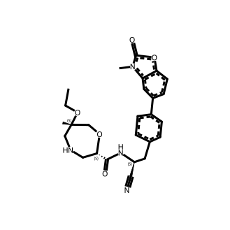 CCO[C@@]1(C)CNC[C@@H](C(=O)N[C@H](C#N)Cc2ccc(-c3ccc4oc(=O)n(C)c4c3)cc2)OC1